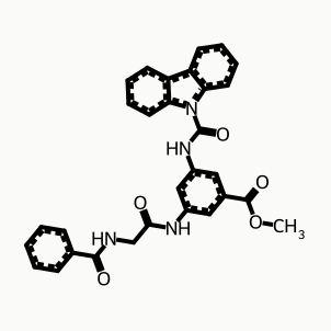 COC(=O)c1cc(NC(=O)CNC(=O)c2ccccc2)cc(NC(=O)n2c3ccccc3c3ccccc32)c1